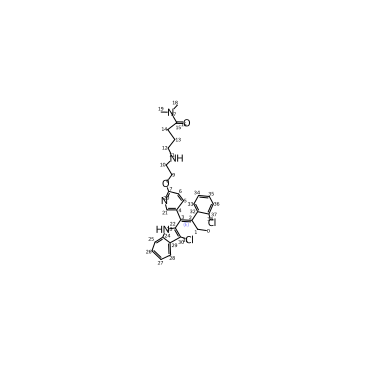 CC/C(=C(/c1ccc(OCCNCCCC(=O)N(C)C)nc1)c1[nH]c2ccccc2c1Cl)c1ccccc1Cl